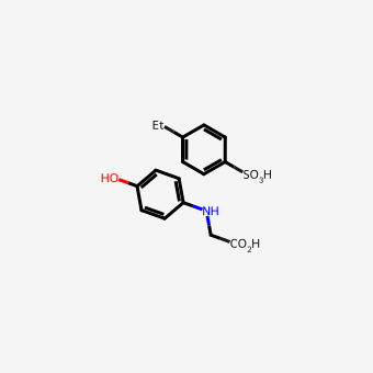 CCc1ccc(S(=O)(=O)O)cc1.O=C(O)CNc1ccc(O)cc1